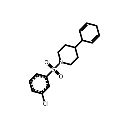 O=S(=O)(c1cccc(Cl)c1)N1CCC(C2C=CCC=C2)CC1